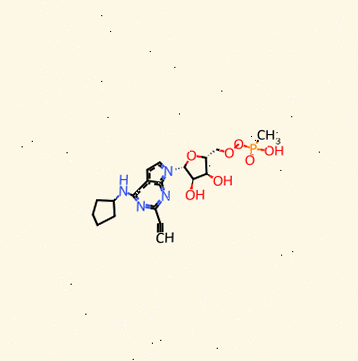 C#Cc1nc(NC2CCCC2)c2ccn([C@@H]3O[C@H](COOP(C)(=O)O)[C@@H](O)[C@H]3O)c2n1